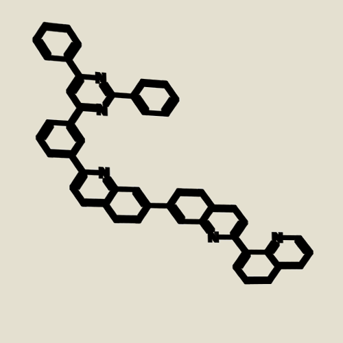 c1ccc(-c2cc(-c3cccc(-c4ccc5ccc(-c6ccc7ccc(-c8cccc9cccnc89)nc7c6)cc5n4)c3)nc(-c3ccccc3)n2)cc1